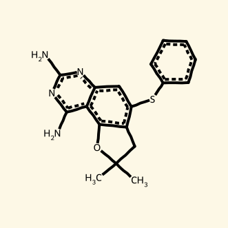 CC1(C)Cc2c(Sc3ccccc3)cc3nc(N)nc(N)c3c2O1